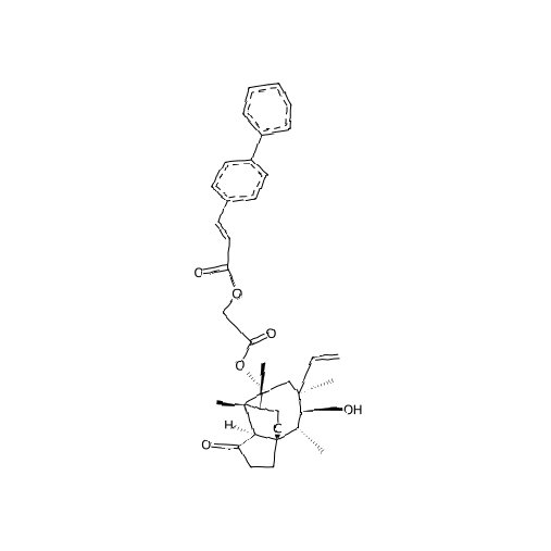 C=C[C@]1(C)C[C@@H](OC(=O)COC(=O)/C=C/c2ccc(-c3ccccc3)cc2)[C@]2(C)[C@H](C)CC[C@]3(CCC(=O)[C@H]32)[C@@H](C)[C@@H]1O